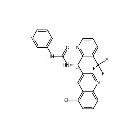 O=C(Nc1cccnc1)N[C@@H](c1cnc2cccc(Cl)c2c1)c1ncccc1C(F)(F)F